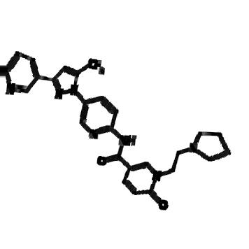 O=C(Nc1ccc(-n2nc(-c3cccnc3)cc2C(F)(F)F)cn1)c1ccc(=O)n(CCN2CCCC2)c1